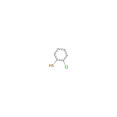 Sc1c[c]ccc1Cl